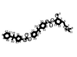 COc1cc(CCC[Si](C)(C)C)ccc1OC(=O)Oc1ccc(C(C)(C)c2ccc(OC(=O)Oc3ccc(C(C)(C)c4ccccc4)cc3)cc2)cc1